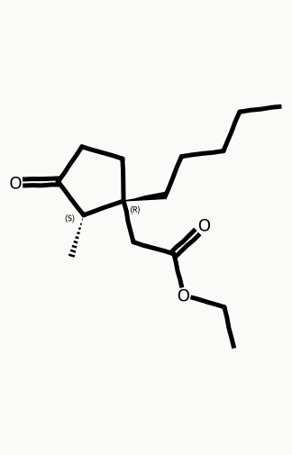 CCCCC[C@]1(CC(=O)OCC)CCC(=O)[C@H]1C